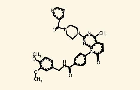 COc1ccc(CNC(=O)c2ccc(-n3c(=O)ccc4c(C)nc(N5CCN(C(=O)c6cccnc6)CC5)nc43)cc2)cc1OC